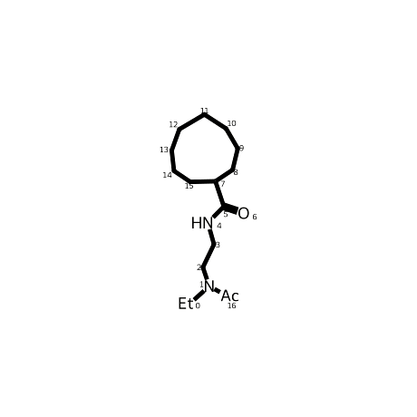 CCN(CCNC(=O)C1CCCCCCCC1)C(C)=O